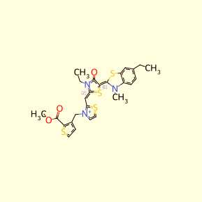 CCc1ccc2c(c1)S/C(=c1/s/c(=C\c3scc[n+]3Cc3ccsc3C(=O)OC)n(CC)c1=O)N2C